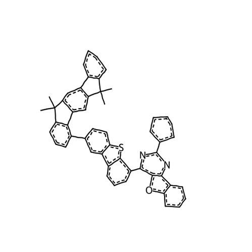 CC1(C)c2ccccc2-c2cc3c(cc21)-c1c(-c2ccc4sc5c(-c6nc(-c7ccccc7)nc7c6oc6ccccc67)cccc5c4c2)cccc1C3(C)C